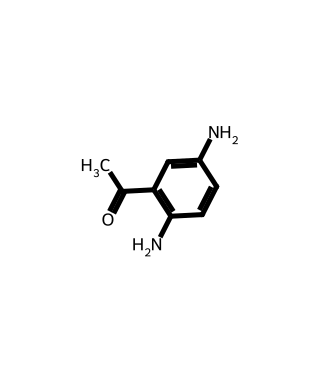 CC(=O)c1cc(N)ccc1N